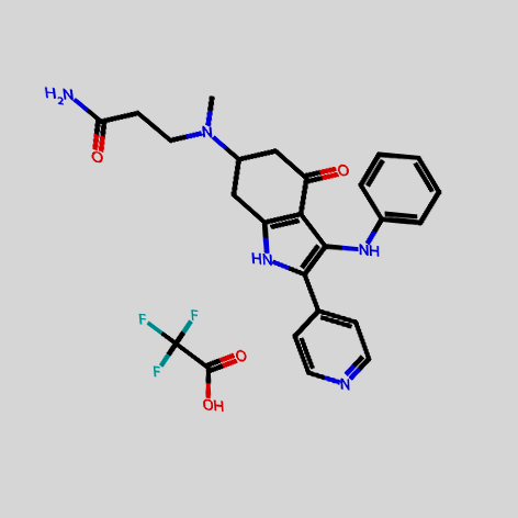 CN(CCC(N)=O)C1CC(=O)c2c([nH]c(-c3ccncc3)c2Nc2ccccc2)C1.O=C(O)C(F)(F)F